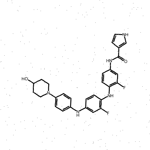 O=C(Nc1ccc(Nc2ccc(Nc3ccc(N4CCC(O)CC4)cc3)cc2F)c(F)c1)c1cc[nH]c1